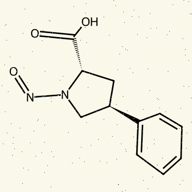 O=NN1C[C@H](c2ccccc2)C[C@H]1C(=O)O